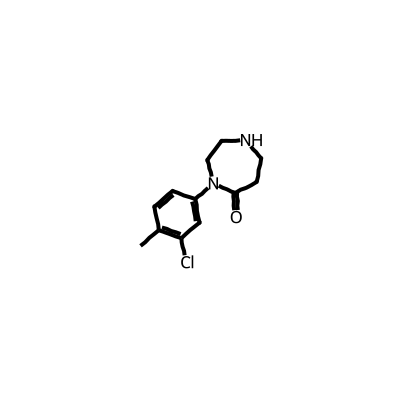 Cc1ccc(N2CCNCCC2=O)cc1Cl